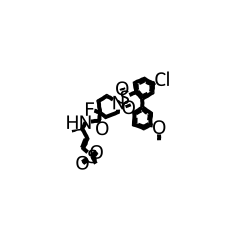 COc1cccc(-c2cc(Cl)ccc2S(=O)(=O)N2CCC(F)(C(=O)N[C@H](C)/C=C/S(C)(=O)=O)CC2)c1